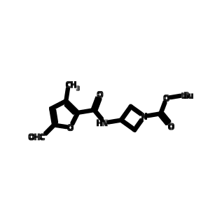 Cc1cc(C=O)oc1C(=O)NC1CN(C(=O)OC(C)(C)C)C1